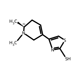 C[C@H]1CC=C(c2csc(S)n2)CN1C